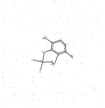 Oc1ccc(Br)c(Br)c1OC(F)(F)F